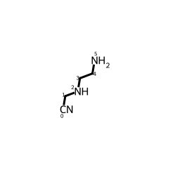 N#CCNCCN